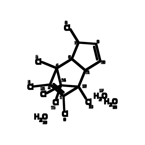 ClC1=C(Cl)C2(Cl)C3C(Cl)C=CC3C1(Cl)C2(Cl)Cl.O.O.O